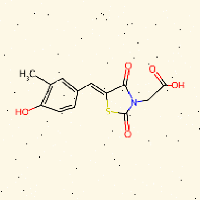 Cc1cc(/C=C2\SC(=O)N(CC(=O)O)C2=O)ccc1O